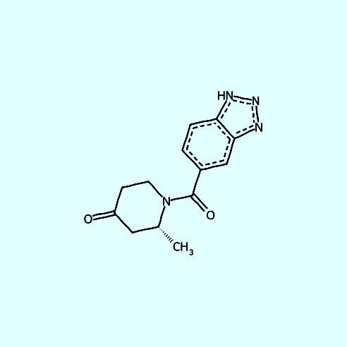 C[C@@H]1CC(=O)CCN1C(=O)c1ccc2[nH]nnc2c1